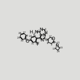 Nc1ncnn2c([C@H]3CC[C@@H](CN4CCC4)OC3)nc(-c3ccc(Oc4ccccc4)cc3F)c12